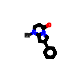 CCn1ccc(=O)n2cc(-c3ccccc3)cc12